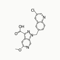 COc1cc2c(C(=O)O)nn(Cc3ccc4ncc(Cl)cc4c3)c2cn1